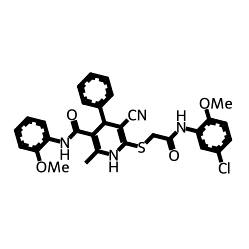 COc1ccc(Cl)cc1NC(=O)CSC1=C(C#N)C(c2ccccc2)C(C(=O)Nc2ccccc2OC)=C(C)N1